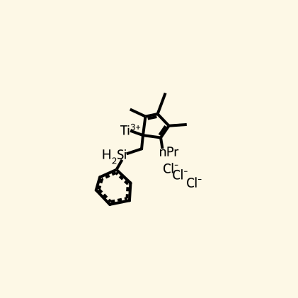 CCCC1=C(C)C(C)=C(C)[C]1([Ti+3])C[SiH2]c1ccccc1.[Cl-].[Cl-].[Cl-]